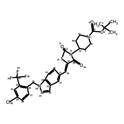 CC(C)(C)OC(=O)N1CCC(N2C(=O)S/C(=C\c3ccc4c(cnn4Cc4ccc(Cl)cc4C(F)(F)F)c3)C2=O)CC1